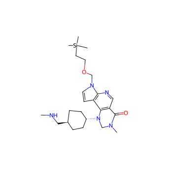 CNC[C@H]1CC[C@H](N2CN(C)C(=O)c3cnc4c(ccn4COCC[Si](C)(C)C)c32)CC1